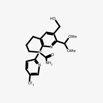 COC(OC)c1nc2c(cc1CO)CCC[N+]2(C(N)=O)c1ccc(C(F)(F)F)cn1